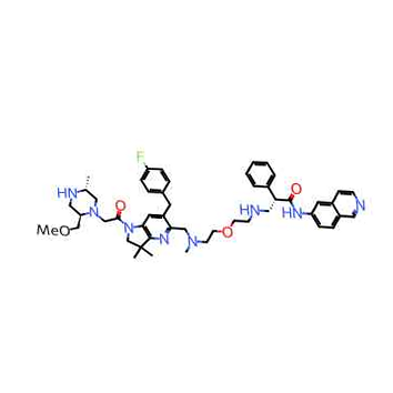 COC[C@H]1CN[C@H](C)CN1CC(=O)N1CC(C)(C)c2nc(CN(C)CCOCCNC[C@@H](C(=O)Nc3ccc4cnccc4c3)c3ccccc3)c(Cc3ccc(F)cc3)cc21